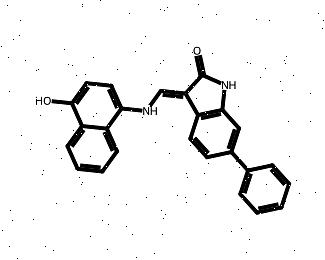 O=C1Nc2cc(-c3ccccc3)ccc2/C1=C\Nc1ccc(O)c2ccccc12